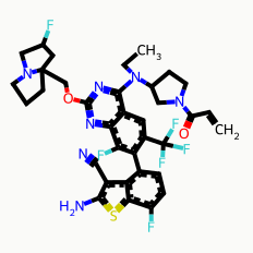 C=CC(=O)N1CCC(N(CC)c2nc(OCC34CCCN3CC(F)C4)nc3c(F)c(-c4ccc(F)c5sc(N)c(C#N)c45)c(C(F)(F)F)cc23)C1